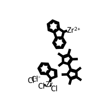 CC1=C(C)C(C)C(C2=C(C)C(C)=C(C)C2C)=C1C.[Cl-].[Cl-].[Cl][Zr]([Cl])[CH]1C=Cc2ccccc21.[Zr+2][CH]1c2ccccc2-c2ccccc21